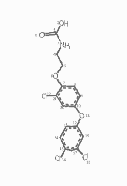 O=C(O)NCCOc1ccc(Oc2ccc(Cl)c(Cl)c2)cc1Cl